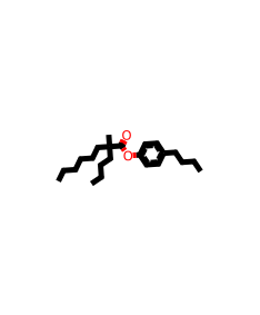 CCCCCCC(C)(CCCC)C(=O)Oc1ccc(CCCC)cc1